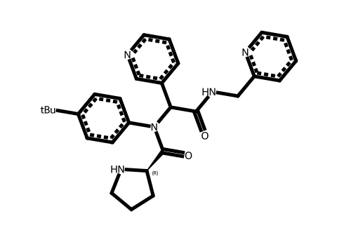 CC(C)(C)c1ccc(N(C(=O)[C@H]2CCCN2)C(C(=O)NCc2ccccn2)c2cccnc2)cc1